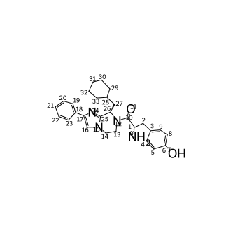 N[C@@H](Cc1ccc(O)cc1)C(=O)N1CCn2cc(-c3ccccc3)nc2[C@H]1CC1CCCCC1